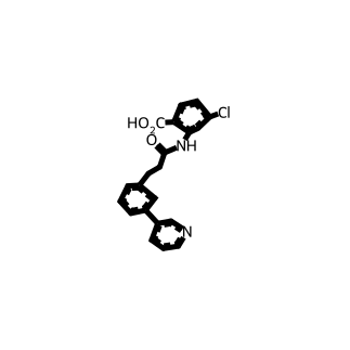 O=C(CCc1cccc(-c2cccnc2)c1)Nc1cc(Cl)ccc1C(=O)O